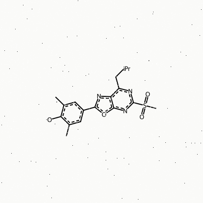 Cc1cc(-c2nc3c(CC(C)C)nc(S(C)(=O)=O)nc3o2)cc(C)c1[O]